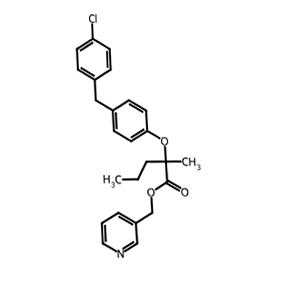 CCCC(C)(Oc1ccc(Cc2ccc(Cl)cc2)cc1)C(=O)OCc1cccnc1